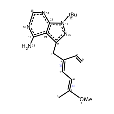 C=C/C(=C\C=C(/C)OC)Cc1nn(C(C)(C)C)c2ncnc(N)c12